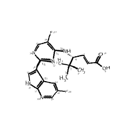 CC(C)(C)[C@@H](C=CC(=O)O)Nc1nc(-c2c[nH]c3ncc(F)cc23)ncc1F